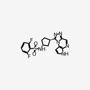 O=S(=O)(N[C@H]1CC[C@@H](c2nnc3cnc4[nH]ccc4n23)C1)c1c(F)cccc1F